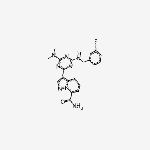 CN(C)c1nc(NCc2cccc(F)c2)nc(-c2cnn3c(C(N)=O)cccc23)n1